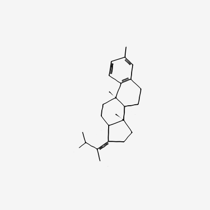 CC(=C1CC[C@H]2[C@@H]3CCc4cc(O)ccc4[C@H]3CC[C@]12C)C(C)C